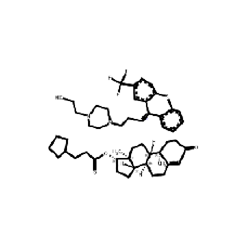 C[C@]12CC[C@H]3[C@@H](CCC4=CC(=O)CC[C@@]43C)[C@@H]1CC[C@@H]2OC(=O)CCC1CCCC1.OCCN1CCN(CC/C=C2/c3ccccc3Sc3ccc(C(F)(F)F)cc32)CC1